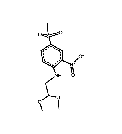 COC(CNc1ccc(S(C)(=O)=O)cc1[N+](=O)[O-])OC